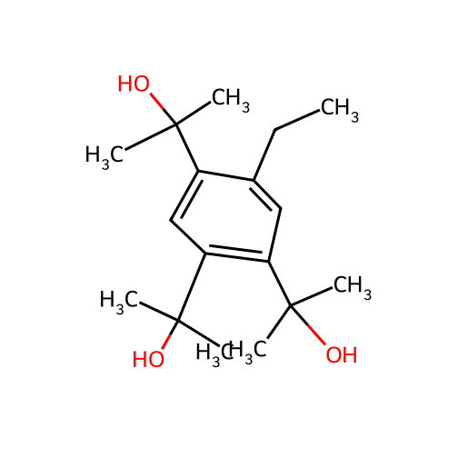 CCc1cc(C(C)(C)O)c(C(C)(C)O)cc1C(C)(C)O